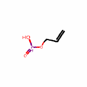 C=CCO[PH](=O)O